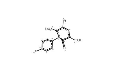 CCOC(=O)c1c(C(C)C)cc(C(=O)O)c(=O)n1-c1ccc(F)cc1